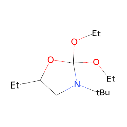 CCOC1(OCC)OC(CC)CN1C(C)(C)C